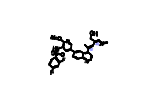 C=N/C=C(\C=C(/C)c1ccnc2ccc(-c3cnc(OC)c(NS(=O)(=O)c4ccc(F)cc4F)c3)cc12)CO